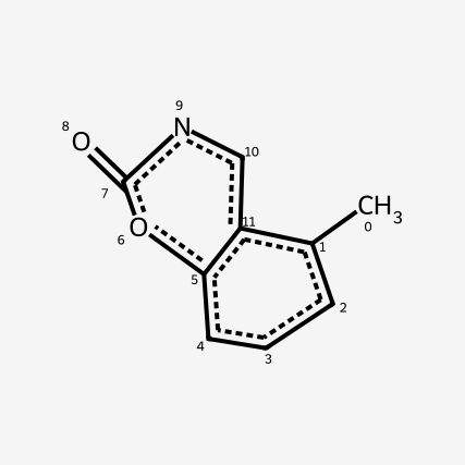 Cc1cccc2oc(=O)ncc12